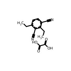 CCc1ccc(C#N)c(CC)c1C#N.O=C(O)C(=O)O